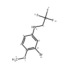 COc1ccc(NCC(F)(F)F)cc1Br